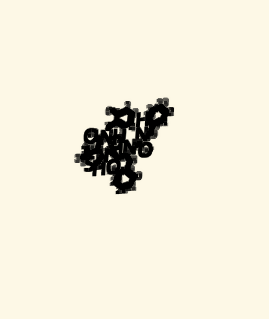 Cc1ccccc1CNC(=O)C1N(C(=O)C(O)C(Cc2ccccc2)NC(=O)NCc2ccccc2)CSC1(C)C